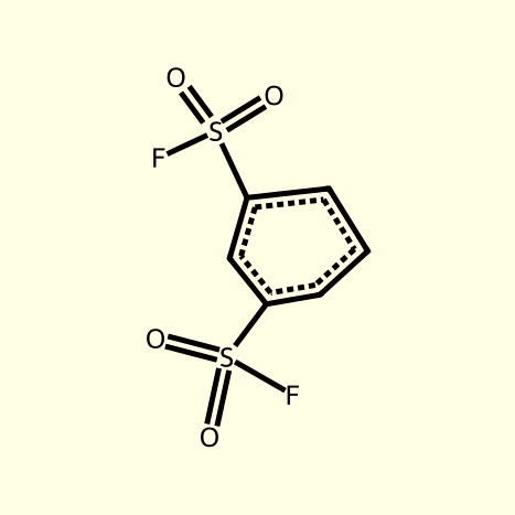 O=S(=O)(F)c1cccc(S(=O)(=O)F)c1